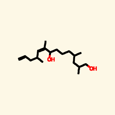 C=CCC(C)C=C(C)C(O)CCCC(C)CC(C)CO